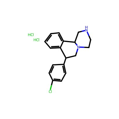 Cl.Cl.Clc1ccc(C2CN3CCNCC3c3ccccc32)cc1